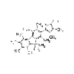 Cc1sc(-c2c(C)c(C)c3c(c2C)C(C)(C)c2c(C)c(C)c(C)c(C)c2-3)c(C)c1C